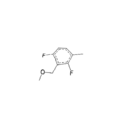 COCc1c(F)ccc(C)c1F